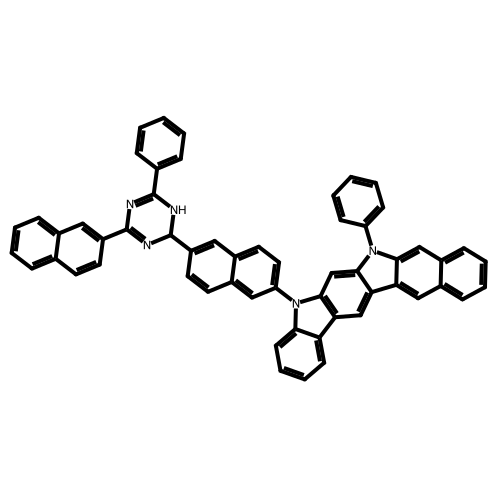 c1ccc(C2=NC(c3ccc4ccccc4c3)=NC(c3ccc4cc(-n5c6ccccc6c6cc7c8cc9ccccc9cc8n(-c8ccccc8)c7cc65)ccc4c3)N2)cc1